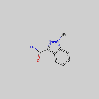 CC(C)n1nc(C(N)=O)c2ccccc21